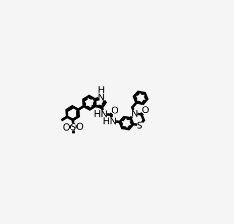 CC1C=CC(c2ccc3[nH]cc(NC(=O)Nc4ccc5c(c4)N(Cc4ccccc4)C(=O)CS5)c3c2)=CC1S(C)(=O)=O